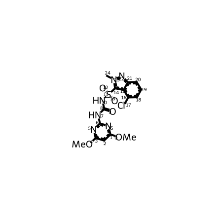 COc1cc(OC)nc(NC(=O)NS(=O)(=O)c2c3c(Cl)cccc3nn2C)n1